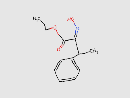 CCOC(=O)/C(=N\O)C(C)c1ccccc1